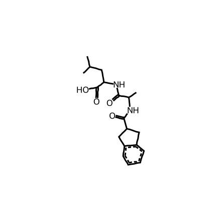 CC(C)CC(NC(=O)C(C)NC(=O)C1Cc2ccccc2C1)C(=O)O